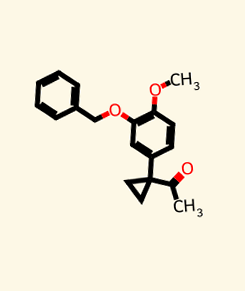 COc1ccc(C2(C(C)=O)CC2)cc1OCc1ccccc1